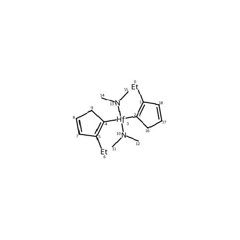 CCC1=[C]([Hf]([C]2=C(CC)C=CC2)([N](C)C)[N](C)C)CC=C1